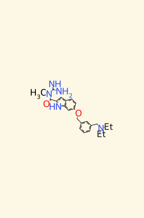 CCN(CC)Cc1cccc(COc2ccc3cc(C(=O)N(C)C(=N)N)[nH]c3c2)c1